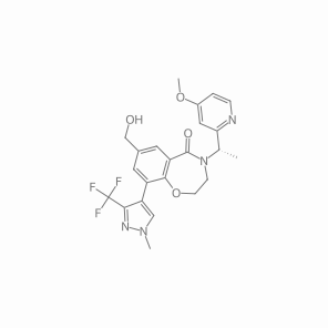 COc1ccnc([C@H](C)N2CCOc3c(cc(CO)cc3-c3cn(C)nc3C(F)(F)F)C2=O)c1